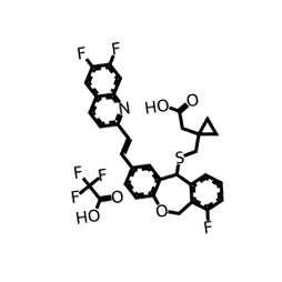 O=C(O)C(F)(F)F.O=C(O)CC1(CSC2c3cc(C=Cc4ccc5cc(F)c(F)cc5n4)ccc3OCc3c(F)cccc32)CC1